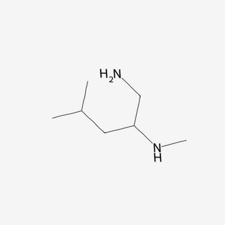 CNC(CN)CC(C)C